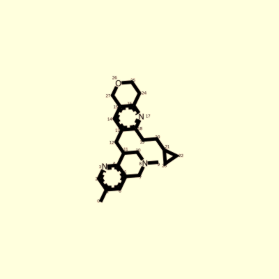 Cc1cnc2c(c1)CN(C)CC2Cc1cc2c(nc1CCC1CC1)CCOC2